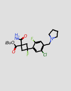 CC(C)COC(=O)C1(C(N)=O)CC(F)(c2cc(Cl)c(CN3CCCC3)cc2F)C1